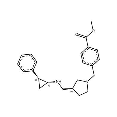 COC(=O)c1ccc(CN2CC[C@@H](CN[C@@H]3C[C@H]3c3ccccc3)C2)cc1